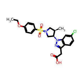 CCOc1ccc(S(=O)(=O)N2C[C@@H](C)[C@@H](n3nc(CC(=O)O)c4ccc(Cl)cc43)C2)cc1